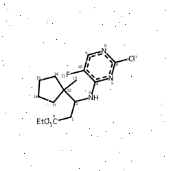 CCOC(=O)CC(Nc1nc(Cl)ncc1F)C1(C)CCCC1